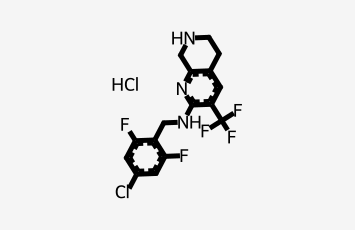 Cl.Fc1cc(Cl)cc(F)c1CNc1nc2c(cc1C(F)(F)F)CCNC2